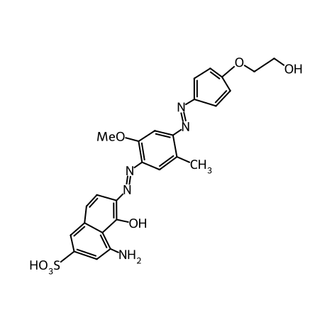 COc1cc(/N=N/c2ccc(OCCO)cc2)c(C)cc1/N=N/c1ccc2cc(S(=O)(=O)O)cc(N)c2c1O